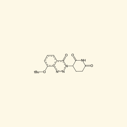 CC(C)(C)Oc1cccc2c(=O)n(C3CCC(=O)NC3=O)nnc12